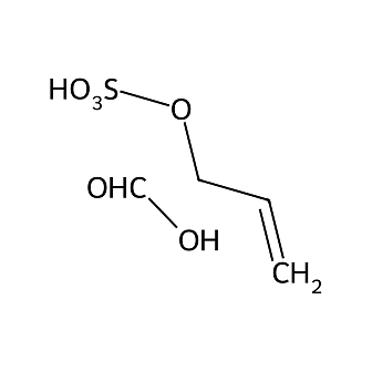 C=CCOS(=O)(=O)O.O=CO